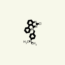 CN(C)c1ccc(CNc2nc(Cl)nc3cccc(-c4ccccc4)c23)cc1